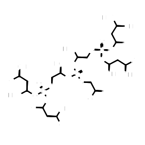 CC(C)CC(C)OP(=O)(OC(C)CC(C)C)SCC(C)OP(=O)(OC(C)CSP(=O)(OC(C)CC(C)C)OC(C)CC(C)C)SCC(C)O